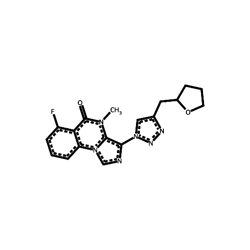 Cn1c(=O)c2c(F)cccc2n2cnc(-n3cc(CC4CCCO4)nn3)c12